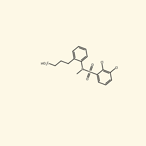 CN(c1ccccc1CCCC(=O)O)S(=O)(=O)c1cccc(Cl)c1Cl